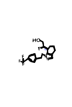 OC/C(F)=C1\CCCc2cnn(CCc3ccc(C(F)(F)F)cc3)c21